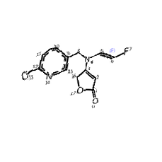 O=C1C=C(N(/C=C/F)Cc2ccc(Cl)nc2)CO1